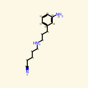 N#CCCCCNCCCc1cccc(N)c1